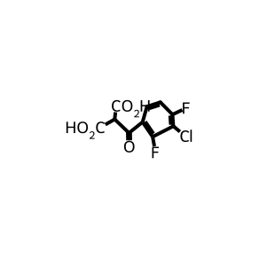 O=C(O)C(C(=O)O)C(=O)c1ccc(F)c(Cl)c1F